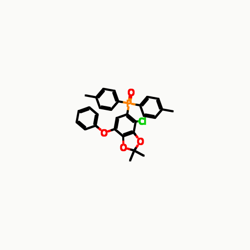 Cc1ccc(P(=O)(c2ccc(C)cc2)c2cc(Oc3ccccc3)c3c(c2Cl)OC(C)(C)O3)cc1